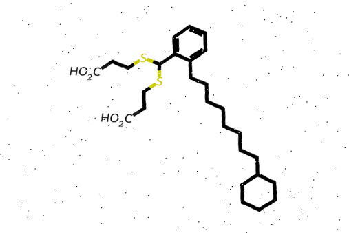 O=C(O)CCSC(SCCC(=O)O)c1ccccc1CCCCCCCCC1CCCCC1